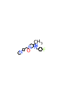 Cc1nn(Cc2ccc(F)cc2)c2c1CCN(C(=O)CC1CC(N3CCCC3)C1)C2